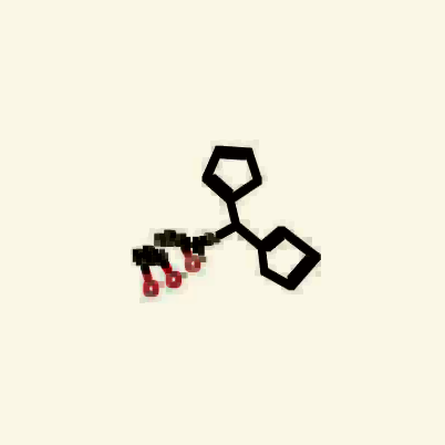 CCCC[O-].CCCC[O-].CCCC[O-].[Hf+3][CH](C1=CC=CC1)C1=CC=CC1